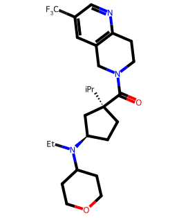 CCN(C1CCOCC1)[C@@H]1CC[C@@](C(=O)N2CCc3ncc(C(F)(F)F)cc3C2)(C(C)C)C1